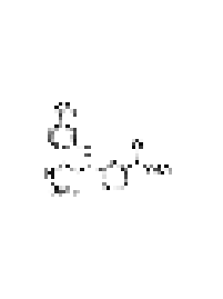 CON=C1CC(c2cccc(C(=O)OC)c2)Oc2cc(C(F)(F)F)ccc21